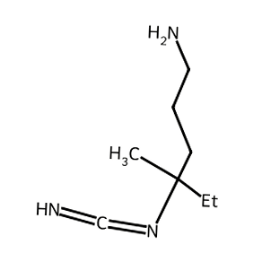 CCC(C)(CCCN)N=C=N